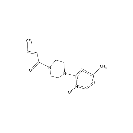 Cc1cc[n+]([O-])c(N2CCN(C(=O)/C=C/C(F)(F)F)CC2)c1